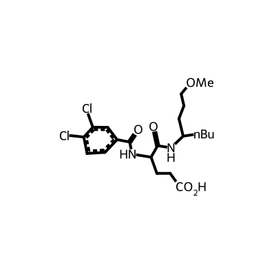 CCCCC(CCCOC)NC(=O)C(CCC(=O)O)NC(=O)c1ccc(Cl)c(Cl)c1